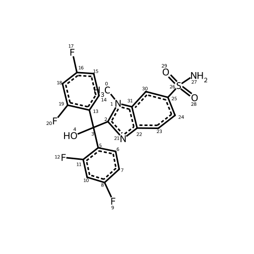 Cn1c(C(O)(c2ccc(F)cc2F)c2ccc(F)cc2F)nc2ccc(S(N)(=O)=O)cc21